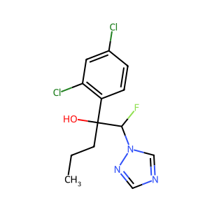 CCCC(O)(c1ccc(Cl)cc1Cl)C(F)n1cncn1